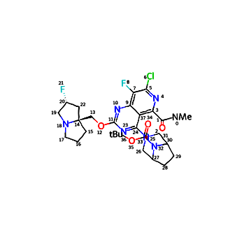 CNC(=O)c1nc(Cl)c(F)c2nc(OC[C@@]34CCCN3C[C@H](F)C4)nc(N3CC4CCC(C3)N4C(=O)OC(C)(C)C)c12